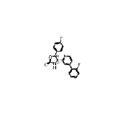 O=C1N[C@@H](c2cc(-c3ccccc3F)ccn2)[C@H](c2ccc(F)cc2)O1